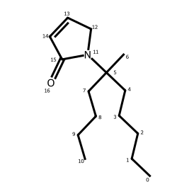 CCCCCC(C)(CCCC)N1CC=CC1=O